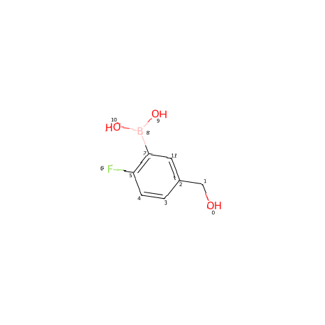 OCc1ccc(F)c(B(O)O)c1